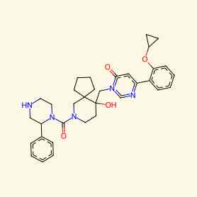 O=C(N1CCC(O)(Cn2cnc(-c3ccccc3OC3CC3)cc2=O)C2(CCCC2)C1)N1CCNCC1c1ccccc1